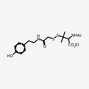 CCOC(=O)C(NC(C)=O)C(C)(C)SSCC(=O)NCCc1ccc(O)cc1